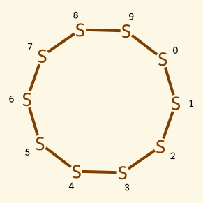 S1SSSSSSSSS1